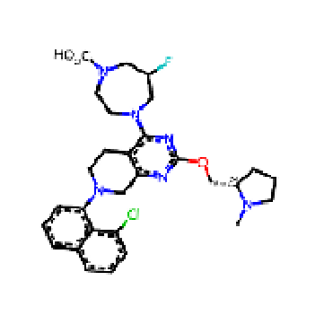 CN1CCC[C@H]1COc1nc2c(c(N3CCN(C(=O)O)CC(F)C3)n1)CCN(c1cccc3cccc(Cl)c13)C2